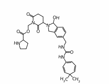 CC1(C)C=CC=C(NC(=O)NCc2ccc3c(c2)CN(C2CCC(=O)N(COC(=O)C4CCCN4)C2=O)C3O)C=C1